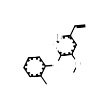 C=Cc1cc(OC)c(Oc2ccccc2C)nn1